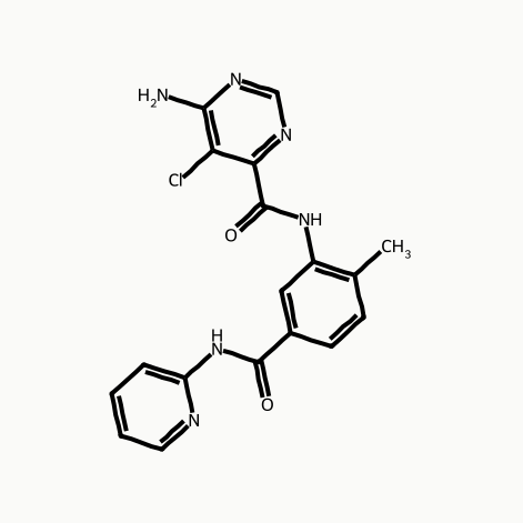 Cc1ccc(C(=O)Nc2ccccn2)cc1NC(=O)c1ncnc(N)c1Cl